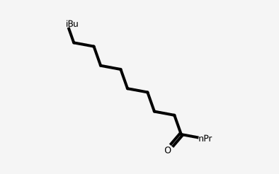 CCCC(=O)CCCCCCCCC(C)CC